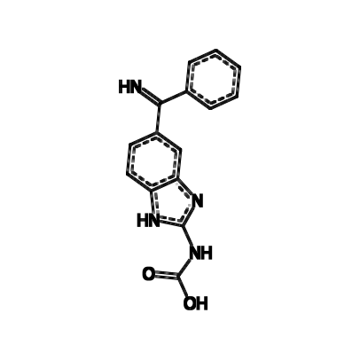 N=C(c1ccccc1)c1ccc2[nH]c(NC(=O)O)nc2c1